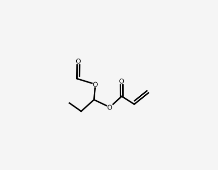 C=CC(=O)OC(CC)OC=O